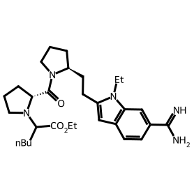 CCCCC(C(=O)OCC)N1CCC[C@@H]1C(=O)N1CCC[C@H]1CCc1cc2ccc(C(=N)N)cc2n1CC